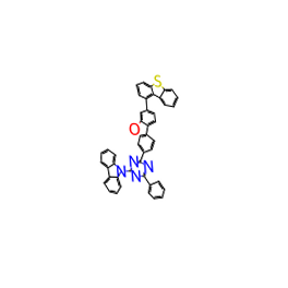 c1ccc(-c2nc(-c3ccc4c(c3)oc3cc(-c5cccc6sc7ccccc7c56)ccc34)nc(-n3c4ccccc4c4ccccc43)n2)cc1